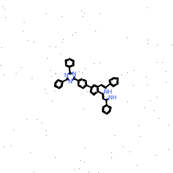 N=C(/C=C1\NC(c2ccccc2)=Cc2cc(-c3ccc(-c4nc(-c5ccccc5)nc(-c5ccccc5)n4)cc3)ccc21)c1ccccc1